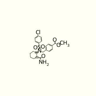 COC(=O)c1ccc(CN([C@@H]2CCCC[C@@H]2C(N)=O)S(=O)(=O)c2ccc(Cl)cc2)cc1